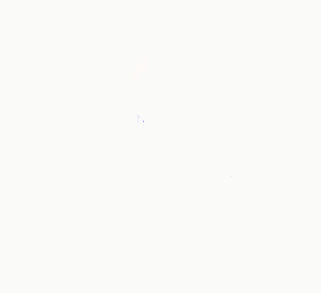 CC(C)[Si](F)(CCCNC(=O)c1ccccc1)C(C)C